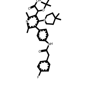 Cc1nc(C)c(C(OC(C)(C)C)C(=O)O)c(N2CCC(C)(C)CC2)c1-c1ccc(NC(=O)Cc2ccc(F)cc2)cc1